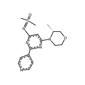 C[C@@H]1COCCN1c1cc(N=S(C)(C)=O)nc(-c2ccncc2)n1